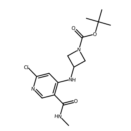 CNC(=O)c1cnc(Cl)cc1NC1CN(C(=O)OC(C)(C)C)C1